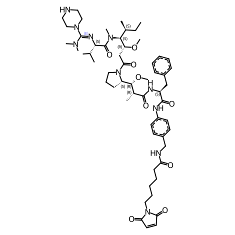 CC[C@H](C)[C@@H]([C@@H](CC(=O)N1CCC[C@H]1[C@H](OC)[C@@H](C)C(=O)N[C@@H](Cc1ccccc1)C(=O)Nc1ccc(CNC(=O)CCCCCN2C(=O)C=CC2=O)cc1)OC)N(C)C(=O)[C@@H](/N=C(\N(C)C)N1CCNCC1)C(C)C